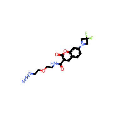 [N-]=[N+]=NCCOCCNC(=O)c1cc2ccc(N3CC(F)(F)C3)cc2oc1=O